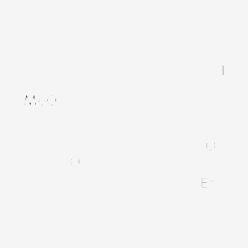 CCOc1cc(C(=O)OC)ccc1I